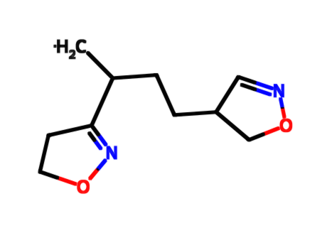 [CH2]C(CCC1C=NOC1)C1=NOCC1